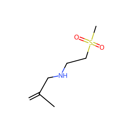 C=C(C)CNCCS(C)(=O)=O